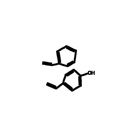 C=Cc1ccc(O)cc1.C=Cc1ccccc1